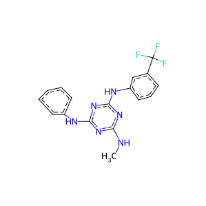 CNc1nc(Nc2ccccc2)nc(Nc2cccc(C(F)(F)F)c2)n1